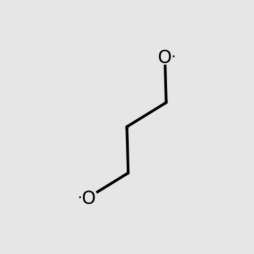 [O]CCC[O]